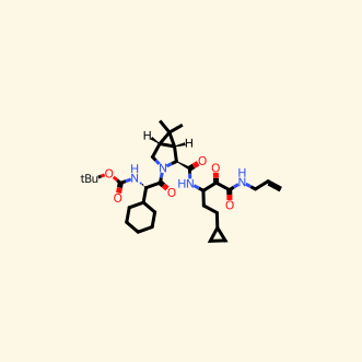 C=CCNC(=O)C(=O)C(CCC1CC1)NC(=O)[C@@H]1[C@@H]2[C@H](CN1C(=O)[C@@H](NC(=O)OC(C)(C)C)C1CCCCC1)C2(C)C